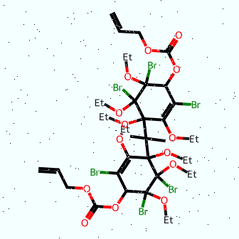 C=CCOC(=O)OC1C(Br)=C(OCC)C(OCC)(C(C)(C)C2(OCC)C(OCC)=C(Br)C(OC(=O)OCC=C)C(Br)(OCC)C2(Br)OCC)C(Br)(OCC)C1(Br)OCC